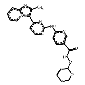 Cc1nc2ccccn2c1-c1ccnc(Nc2ccc(C(=O)NOC3CCCCO3)cn2)n1